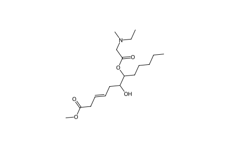 CCCCCC(OC(=O)CN(C)CC)C(O)C/C=C/CC(=O)OC